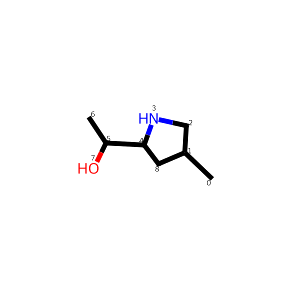 CC1CNC(C(C)O)C1